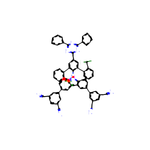 N#Cc1cc(C#N)cc(-c2ccc3c(c2)c2cc(-c4cc(C#N)cc(C#N)c4)ccc2n3-c2c(-c3ccccc3C(F)(F)F)cc(-c3nc(-c4ccccc4)nc(-c4ccccc4)n3)cc2-c2ccccc2C(F)(F)F)c1